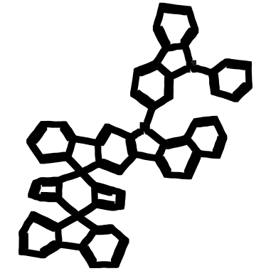 c1ccc(-n2c3ccccc3c3ccc(-n4c5cc6c(cc5c5ccc7ccccc7c54)C4(c5ccccc5-6)c5ccccc5C5(c6ccccc6-c6ccccc65)c5ccccc54)cc32)cc1